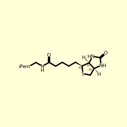 CCCC(C)CNC(=O)CCCC[C@@H]1SC[C@@H]2NC(=O)N[C@@H]21